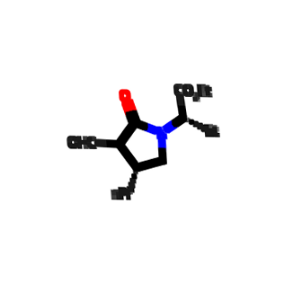 CCC[C@H]1CN([C@@H](CC)C(=O)OCC)C(=O)C1C=O